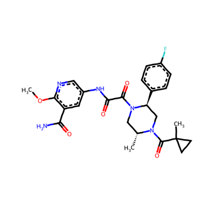 COc1ncc(NC(=O)C(=O)N2C[C@@H](C)N(C(=O)C3(C)CC3)C[C@@H]2c2ccc(F)cc2)cc1C(N)=O